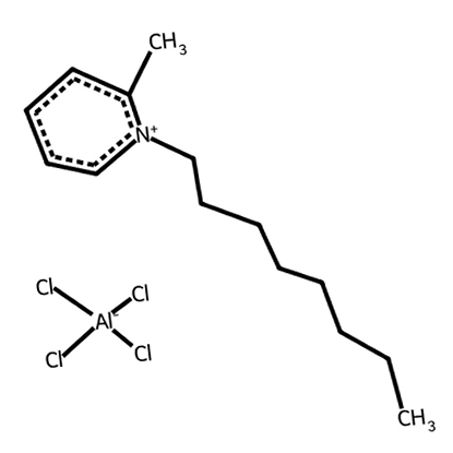 CCCCCCCC[n+]1ccccc1C.[Cl][Al-]([Cl])([Cl])[Cl]